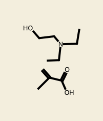 C=C(C)C(=O)O.CCN(CC)CCO